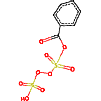 O=C(OS(=O)(=O)OOS(=O)(=O)O)c1ccccc1